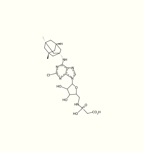 C[C@]12C[C@@H]3C[C@](C)(C1)C[C@@](Nc1nc(Cl)nc4c1ncn4C1OC(CNP(=O)(O)CC(=O)O)C(O)C1O)(C3)C2